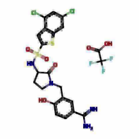 N=C(N)c1ccc(O)c(CN2CCC(NS(=O)(=O)c3cc4c(Cl)cc(Cl)cc4s3)C2=O)c1.O=C(O)C(F)(F)F